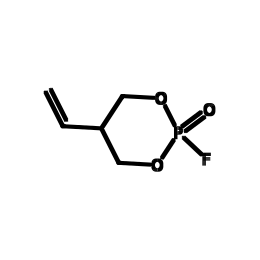 C=CC1COP(=O)(F)OC1